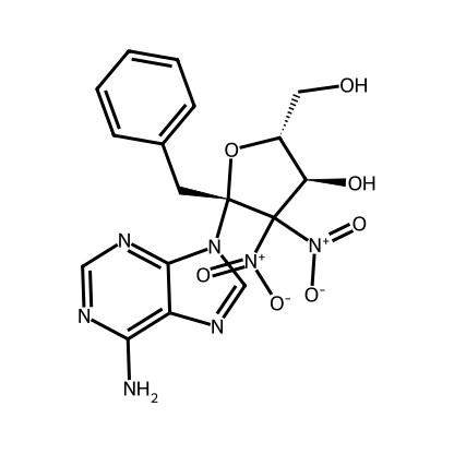 Nc1ncnc2c1ncn2[C@]1(Cc2ccccc2)O[C@H](CO)[C@@H](O)C1([N+](=O)[O-])[N+](=O)[O-]